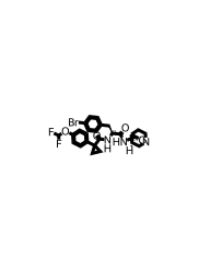 O=C(N[C@@H]1CN2CCC1CC2)[C@H](Cc1ccc(Br)cc1)NC(=O)C1(c2ccc(OC(F)F)cc2)CC1